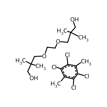 CC(C)(CO)COCCOCC(C)(C)CO.Cc1c(Cl)c(Cl)c(C)c(Cl)c1Cl